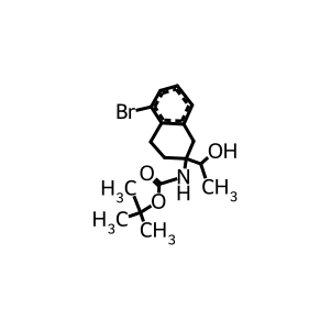 CC(O)C1(NC(=O)OC(C)(C)C)CCc2c(Br)cccc2C1